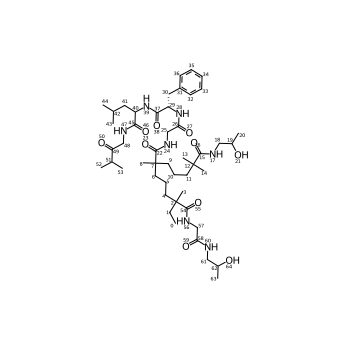 CCC(C)(CCCC(C)(CCCC(C)(C)C(=O)NCC(C)O)C(=O)NCC(=O)N[C@@H](Cc1ccccc1)C(=O)NC(CC(C)C)C(=O)NCC(=O)C(C)C)C(=O)NCC(=O)NCC(C)O